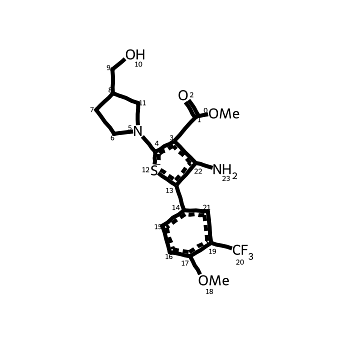 COC(=O)c1c(N2CCC(CO)C2)sc(-c2ccc(OC)c(C(F)(F)F)c2)c1N